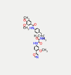 COc1ccc(C(=O)Nc2ccc(CC(C)(C)NC(=O)C(=O)Nc3ccc(-c4cnco4)c(OC)c3)cc2)cc1OC